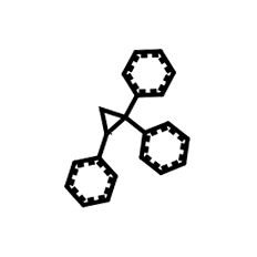 c1ccc([C]2CC2(c2ccccc2)c2ccccc2)cc1